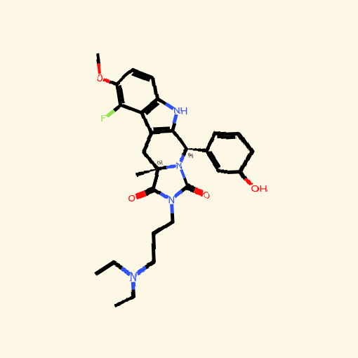 CCN(CC)CCCN1C(=O)N2[C@H](C3=CC(O)CC=C3)c3[nH]c4ccc(OC)c(F)c4c3C[C@@]2(C)C1=O